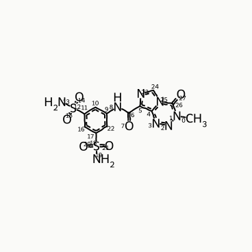 Cn1nnc2c(C(=O)Nc3cc(S(N)(=O)=O)cc(S(N)(=O)=O)c3)ncn2c1=O